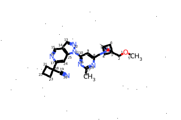 COCC12CC(C1)N(c1cc(-n3ncc4cnc(C5(C#N)CCC5)cc43)nc(C)n1)C2